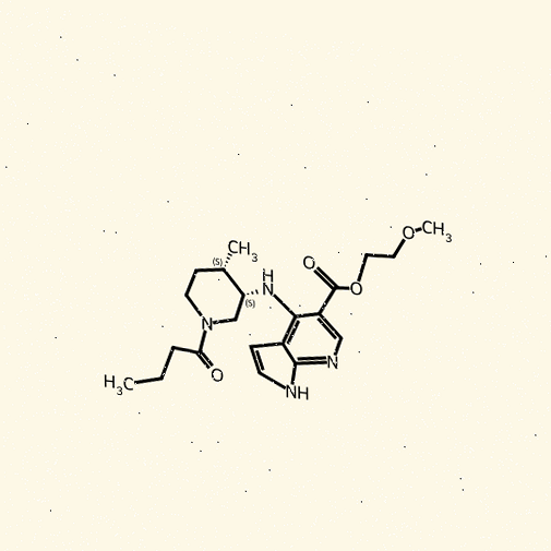 CCCC(=O)N1CC[C@H](C)[C@H](Nc2c(C(=O)OCCOC)cnc3[nH]ccc23)C1